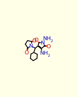 NC1=C(C(C2CCCCC2)N2C(=O)CCC2=O)C(=O)N(N)C1=O